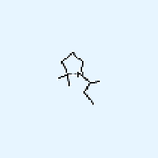 CCC(C)N1CCCC1(C)C